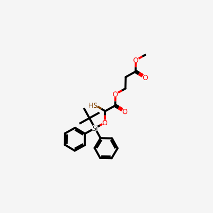 COC(=O)CCOC(=O)C(S)O[Si](c1ccccc1)(c1ccccc1)C(C)(C)C